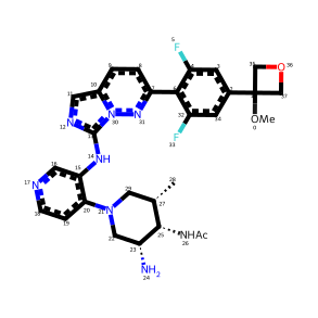 COC1(c2cc(F)c(-c3ccc4cnc(Nc5cnccc5N5C[C@@H](N)[C@@H](NC(C)=O)[C@@H](C)C5)n4n3)c(F)c2)COC1